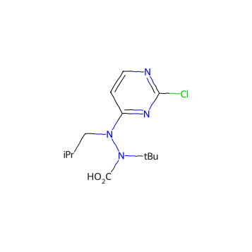 CC(C)CN(c1ccnc(Cl)n1)N(C(=O)O)C(C)(C)C